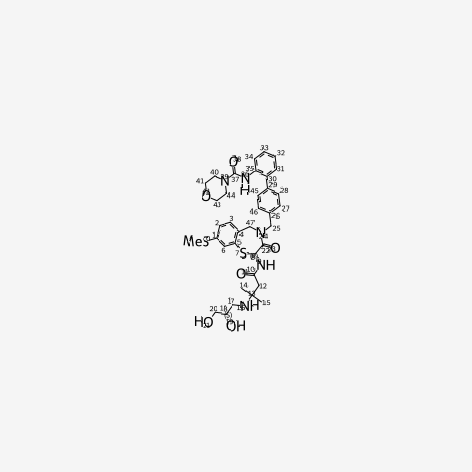 CSc1ccc2c(c1)S[C@@H](NC(=O)CC(C)(C)NC[C@H](O)CO)C(=O)N(Cc1ccc(-c3ccccc3NC(=O)N3CCOCC3)cc1)C2